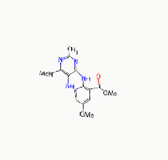 CNc1nc(C)nc(Nc2ccc(OC)cc2C(=O)OC)c1N